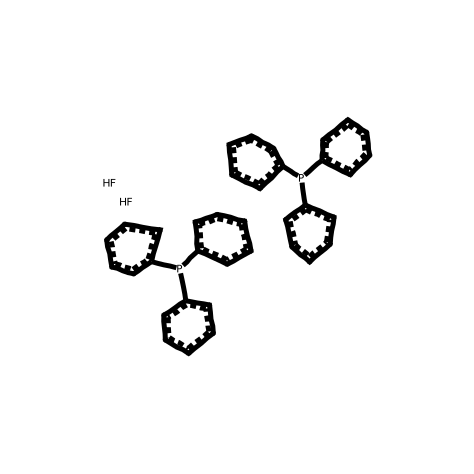 F.F.c1ccc(P(c2ccccc2)c2ccccc2)cc1.c1ccc(P(c2ccccc2)c2ccccc2)cc1